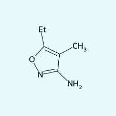 CCc1onc(N)c1C